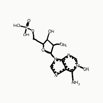 Nc1c2ncn(C3OC(COP(=O)(O)O)C(O)C3O)c2nc[n+]1O